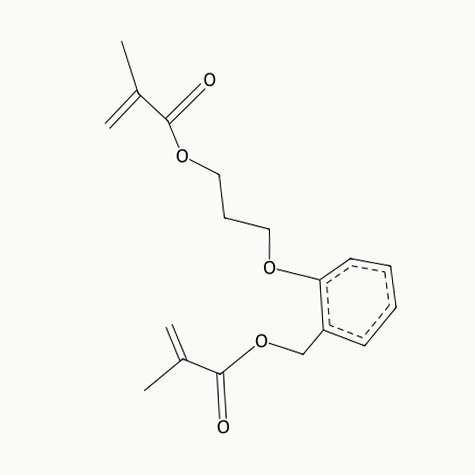 C=C(C)C(=O)OCCCOc1ccccc1COC(=O)C(=C)C